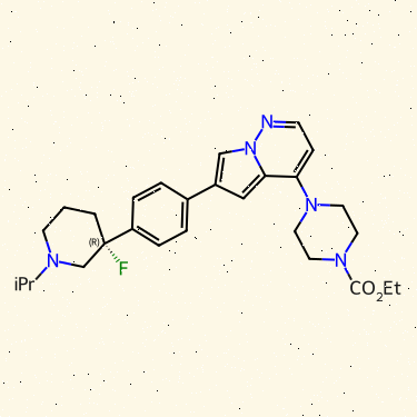 CCOC(=O)N1CCN(c2ccnn3cc(-c4ccc([C@]5(F)CCCN(C(C)C)C5)cc4)cc23)CC1